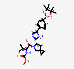 COC(=O)N[C@H](C(=O)N1CC2(CC2)C[C@H]1c1ncc(-c2ccc(B3OC(C)(C)C(C)(C)O3)cc2)[nH]1)C(C)C